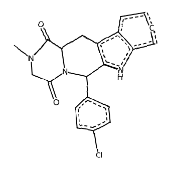 CN1CC(=O)N2C(Cc3c([nH]c4ccccc34)C2c2ccc(Cl)cc2)C1=O